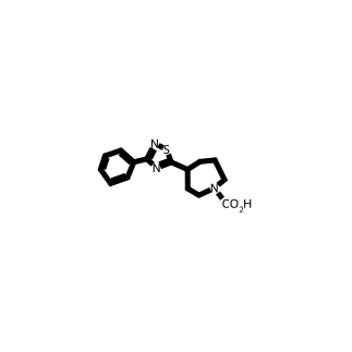 O=C(O)N1CCCC(c2nc(-c3ccccc3)ns2)CC1